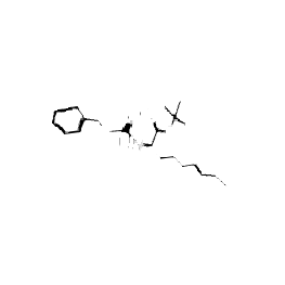 CC/C=C/CCC[C@H](NC(=O)OCc1ccccc1)C(=O)OC(C)(C)C